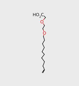 C=CCCCCCCCCCOCCOCC(=O)O